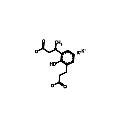 CN(CC(=O)[O-])c1cccc(CCC(=O)[O-])c1O.[K+].[K+]